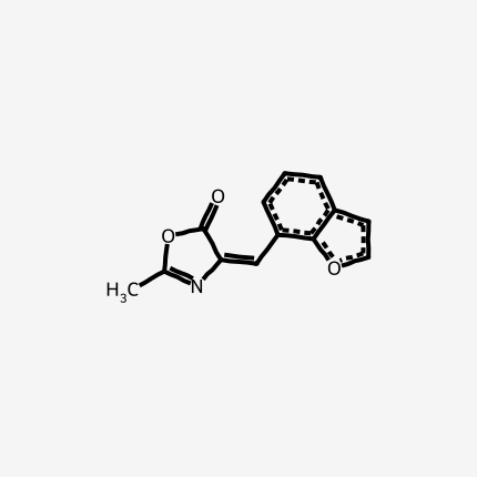 CC1=NC(=Cc2cccc3ccoc23)C(=O)O1